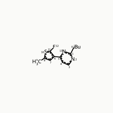 CCC(C)c1nccc(-c2cc(C)sc2F)n1